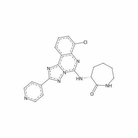 O=C1NCCCC[C@H]1Nc1nc2c(Cl)cccc2c2nc(-c3ccncc3)nn12